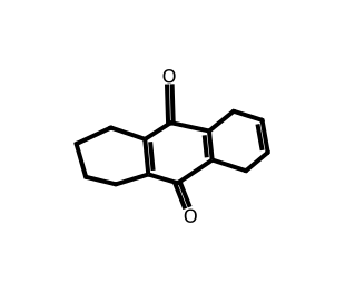 O=C1C2=C(CC=CC2)C(=O)C2=C1CCCC2